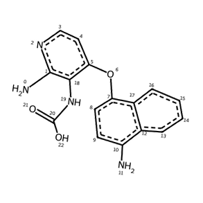 Nc1nccc(Oc2ccc(N)c3ccccc23)c1NC(=O)O